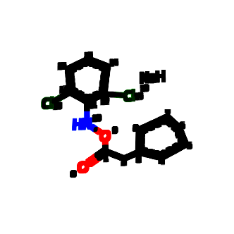 O=C(Cc1ccccc1)ONc1c(Cl)cccc1Cl.[NaH]